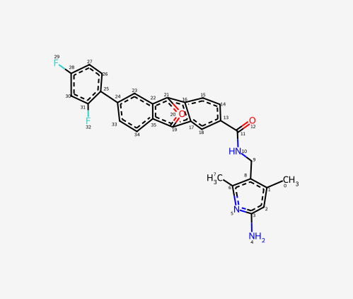 Cc1cc(N)nc(C)c1CNC(=O)c1ccc2c(c1)c1oc2c2cc(-c3ccc(F)cc3F)ccc21